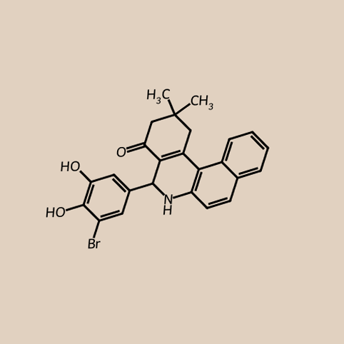 CC1(C)CC(=O)C2=C(C1)c1c(ccc3ccccc13)NC2c1cc(O)c(O)c(Br)c1